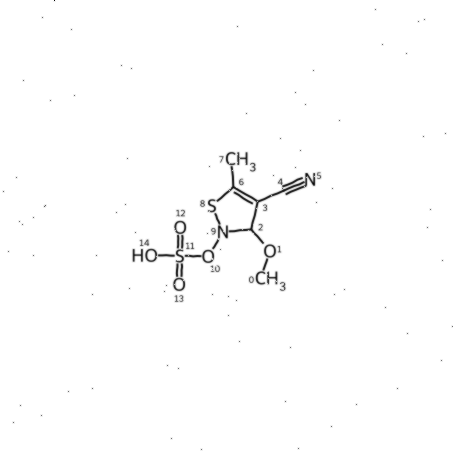 COC1C(C#N)=C(C)SN1OS(=O)(=O)O